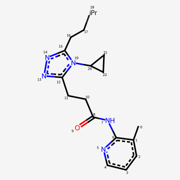 Cc1cccnc1NC(=O)CCc1nnc(CCC(C)C)n1C1CC1